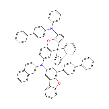 c1ccc(-c2ccc(-c3cc(N(c4ccc5c(c4)C4(c6ccccc6-c6ccccc64)c4cccc(N(c6ccccc6)c6ccc(-c7ccccc7)cc6)c4O5)c4ccc5ccccc5c4)cc4c3oc3ccccc34)cc2)cc1